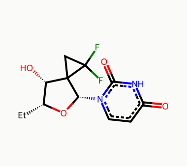 CC[C@H]1O[C@@H](n2ccc(=O)[nH]c2=O)C2(CC2(F)F)[C@H]1O